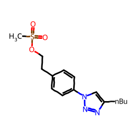 CCCCc1cn(-c2ccc(CCOS(C)(=O)=O)cc2)nn1